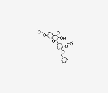 COCOc1ccc2c(=O)c(O)c(-c3ccc(OCc4ccccc4)c(OCOC)c3)oc2c1